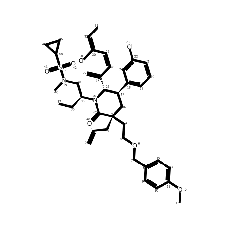 C=CC[C@]1(CCOCc2ccc(OC)cc2)C[C@H](c2cccc(Cl)c2)[C@@H](C(=C)/C=C\C(Cl)=C/C)N([C@@H](CC)CN(C)S(=O)(=O)C2CC2)C1=O